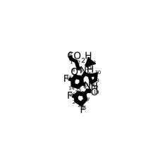 O=C(O)CCC(=O)N(C1CC1)[C@H]1c2cc(F)ccc2N(C(=O)c2cc(F)cc(F)c2)[C@@H]2CC[C@@H]21